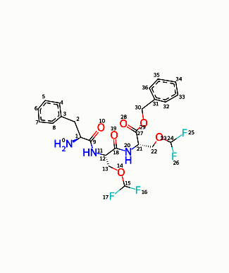 N[C@@H](Cc1ccccc1)C(=O)N[C@@H](COC(F)F)C(=O)N[C@@H](COC(F)F)C(=O)OCc1ccccc1